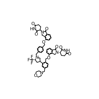 O=C1CCC(N2Cc3c(OCc4ccc(CN5CC(c6cc(CN7CCOCC7)ccc6COc6cccc7c6CN([C@H]6CCC(=O)NC6=O)C7=O)C[C@H]5C(F)(F)F)cc4)cccc3C2=O)C(=O)N1